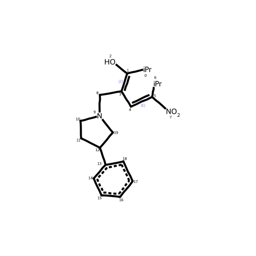 CC(C)/C(O)=C(\C=C(/C(C)C)[N+](=O)[O-])CN1CCC(c2ccccc2)C1